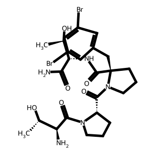 C[C@H](O)[C@H](N)C(=O)N1CCC[C@H]1C(=O)N1CCC[C@@]1(Cc1cc(Br)cc(Br)c1)C(=O)N[C@H](C(N)=O)[C@@H](C)O